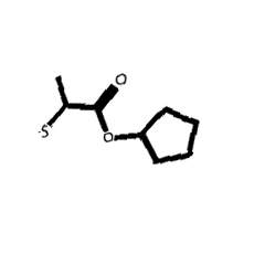 CC([S])C(=O)OC1CCCC1